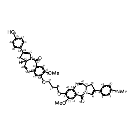 CNc1ccc(C2=CN3C(=O)c4cc(OC)c(OCCCOc5cc6c(cc5OC)C(=O)N5C=C(c7ccc(O)cc7)C[C@H]5C=N6)cc4N=CC3C2)cc1